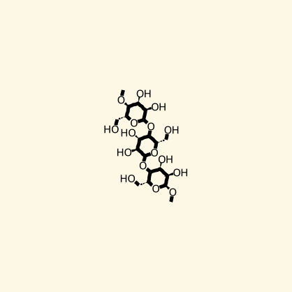 CO[C@H]1O[C@H](CO)C(OC2O[C@@H](CO)C(OC3O[C@H](CO)[C@@H](OC)[C@H](O)[C@H]3O)[C@@H](O)[C@@H]2O)[C@H](O)[C@H]1O